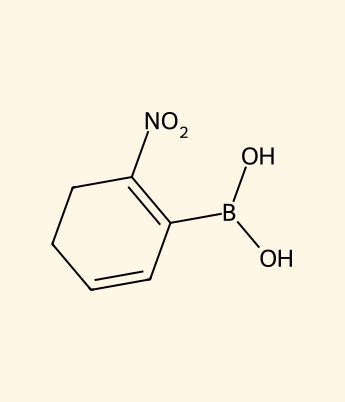 O=[N+]([O-])C1=C(B(O)O)C=CCC1